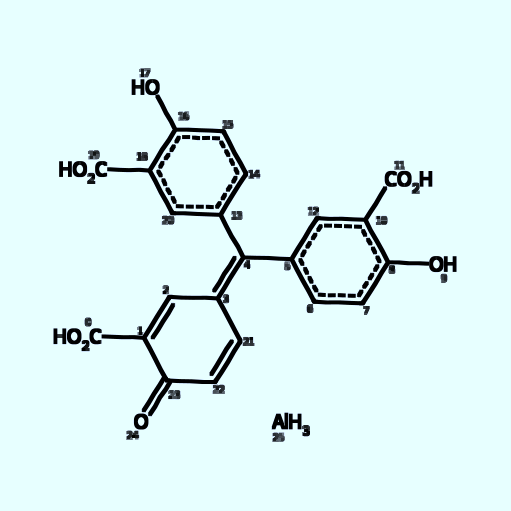 O=C(O)C1=CC(=C(c2ccc(O)c(C(=O)O)c2)c2ccc(O)c(C(=O)O)c2)C=CC1=O.[AlH3]